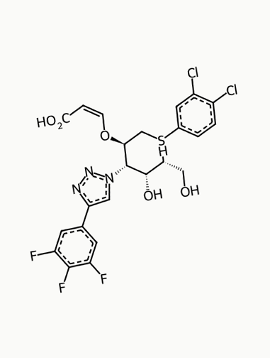 O=C(O)/C=C\O[C@H]1C[SH](c2ccc(Cl)c(Cl)c2)[C@H](CO)[C@H](O)[C@@H]1n1cc(-c2cc(F)c(F)c(F)c2)nn1